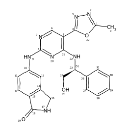 Cc1nnc(-c2cnc(Nc3ccc4c(c3)CNC4=O)nc2N[C@H](CO)c2ccccc2)o1